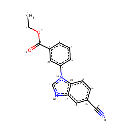 CCOC(=O)c1cccc(-n2cnc3cc(C#N)ccc32)c1